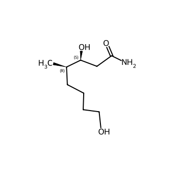 C[C@H](CCCCO)[C@@H](O)CC(N)=O